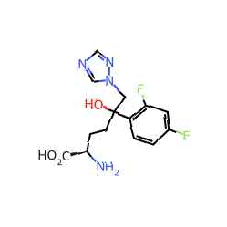 N[C@H](CCC(O)(Cn1cncn1)c1ccc(F)cc1F)C(=O)O